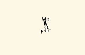 [F-].[Li+].[O]=[Mn]